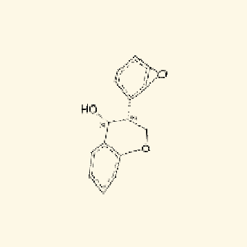 O[C@H]1c2ccccc2OC[C@H]1c1cccc2c1O2